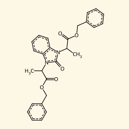 CC(C(=O)OCc1ccccc1)n1c(=O)n(C(C)C(=O)OCc2ccccc2)c2ccccc21